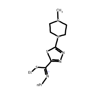 CCC/N=C(\SCC)c1nnc(N2CCN(C)CC2)s1